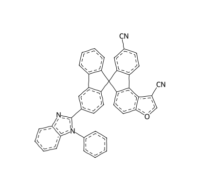 N#Cc1ccc2c(c1)C1(c3ccccc3-c3cc(-c4nc5ccccc5n4-c4ccccc4)ccc31)c1ccc3occ(C#N)c3c1-2